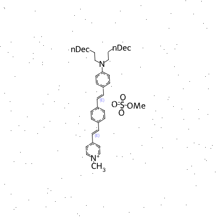 CCCCCCCCCCCCN(CCCCCCCCCCCC)c1ccc(/C=C/c2ccc(/C=C/c3cc[n+](C)cc3)cc2)cc1.COS(=O)(=O)[O-]